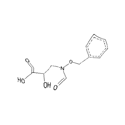 O=CN(CC(O)C(=O)O)OCc1ccccc1